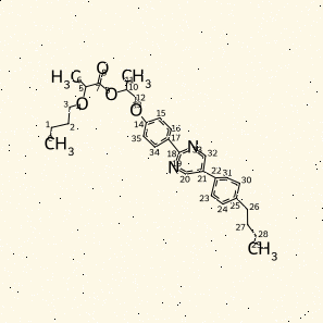 CCCCOC(C)C(=O)OC(C)COc1ccc(-c2ncc(-c3ccc(CCCC)cc3)cn2)cc1